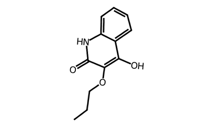 CCCOc1c(O)c2ccccc2[nH]c1=O